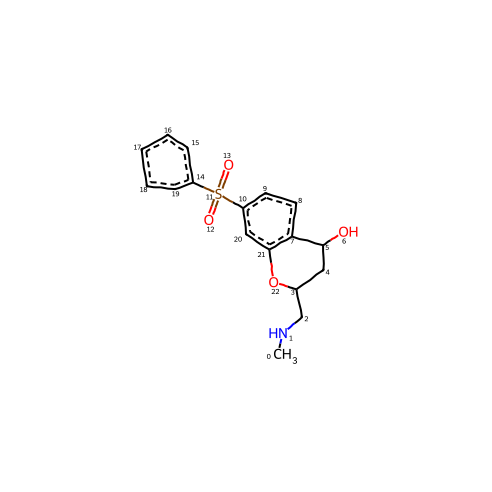 CNCC1CC(O)c2ccc(S(=O)(=O)c3ccccc3)cc2O1